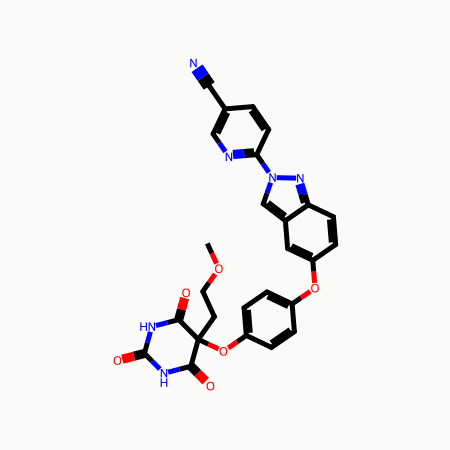 COCCC1(Oc2ccc(Oc3ccc4nn(-c5ccc(C#N)cn5)cc4c3)cc2)C(=O)NC(=O)NC1=O